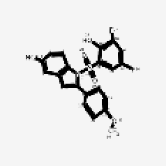 N#Cc1ccc2c(c1)cc(-c1ccc(OC(F)(F)F)cc1)n2S(=O)(=O)c1cc(F)cc(F)c1O